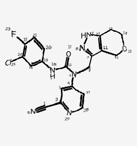 N#Cc1cc(N(Cc2n[nH]c3c2COCC3)C(=O)Nc2ccc(F)c(Cl)c2)ccn1